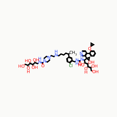 CC(CCCCNCCN1CCN(C(=O)NC[C@H](O)[C@@H](O)[C@H](O)[C@H](O)CO)CC1)c1ccc(Cl)c(CNC(=O)NC([C@H](O)[C@@H](O)[C@H](O)[C@H](O)CO)C2(c3cnccc3-c3ccccc3OC3CC3)CC2)c1